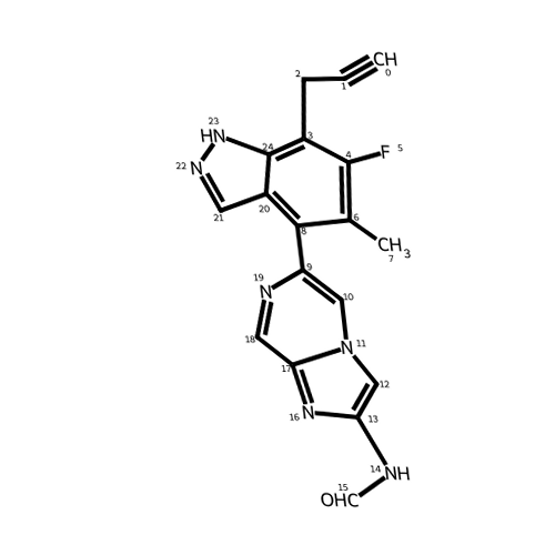 C#CCc1c(F)c(C)c(-c2cn3cc(NC=O)nc3cn2)c2cn[nH]c12